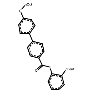 CCCCCCCCOc1ccc(-c2ccc(C(=O)Oc3ccccc3CCCCC)cc2)cc1